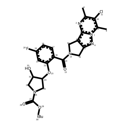 Cc1nc2c3c(nn2c(C)c1Cl)CN(C(=O)c1ccc(F)cc1OC1CN(C(=O)OC(C)(C)C)CC1O)C3